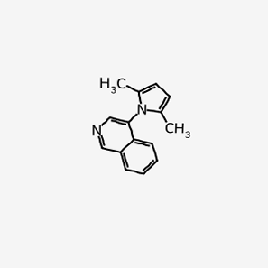 Cc1ccc(C)n1-c1cncc2ccccc12